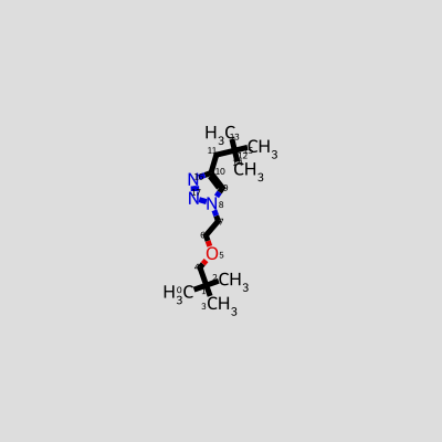 CC(C)(C)COCCn1cc(CC(C)(C)C)nn1